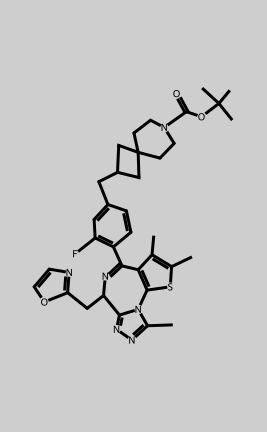 Cc1sc2c(c1C)C(c1ccc(CC3CC4(CCN(C(=O)OC(C)(C)C)CC4)C3)cc1F)=NC(Cc1ncco1)c1nnc(C)n1-2